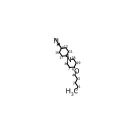 CCCCCOC1CCN(C2CCC(C#N)CC2)CC1